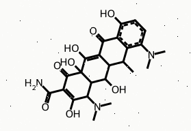 CC1c2c(N(C)C)ccc(O)c2C(=O)C2=C(O)C3(O)C(=O)C(C(N)=O)=C(O)C(N(C)C)C3C(O)C21